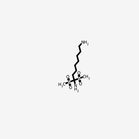 CS(=O)(=O)C(N)(CCCCCCCN)S(C)(=O)=O